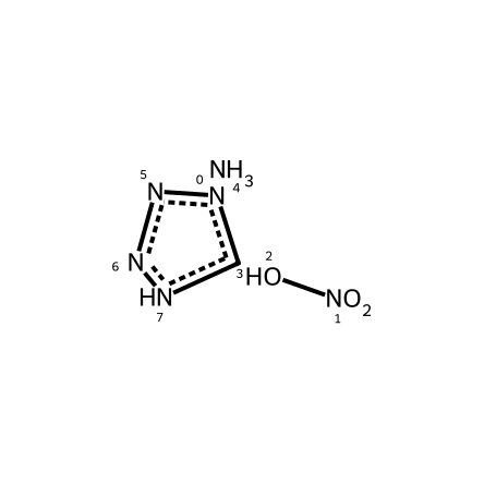 N.O=[N+]([O-])O.c1nnn[nH]1